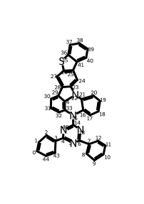 c1ccc(-c2nc(-c3ccccc3)nc(N3c4ccccc4-n4c5cc6c(cc5c5cccc3c54)sc3ccccc36)n2)cc1